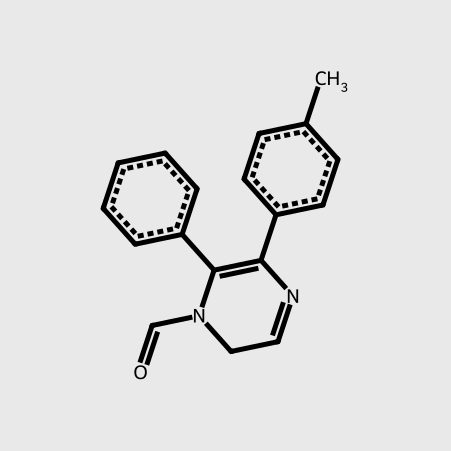 Cc1ccc(C2=C(c3ccccc3)N(C=O)CC=N2)cc1